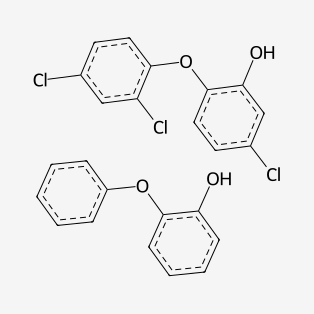 Oc1cc(Cl)ccc1Oc1ccc(Cl)cc1Cl.Oc1ccccc1Oc1ccccc1